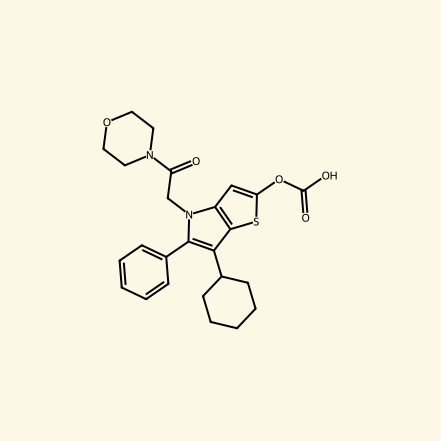 O=C(O)Oc1cc2c(s1)c(C1CCCCC1)c(-c1ccccc1)n2CC(=O)N1CCOCC1